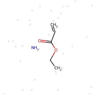 N.[CH2]COC(=O)C=C